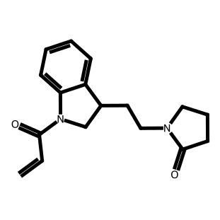 C=CC(=O)N1CC(CCN2CCCC2=O)c2ccccc21